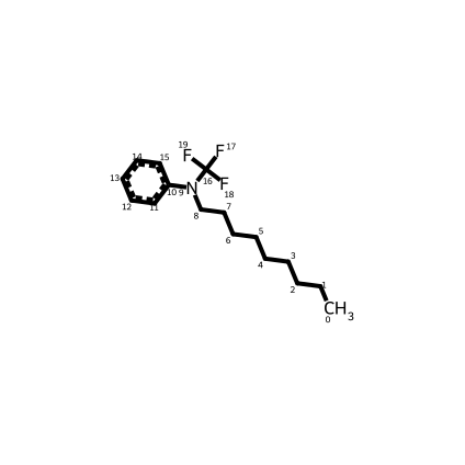 CCCCCCCCCN(c1ccccc1)C(F)(F)F